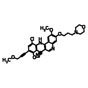 COCC#Cc1cc(Cl)c(Nc2c(C#N)cnc3cc(OCCCN4CCOCC4)c(OC)cc23)c2c1OCO2